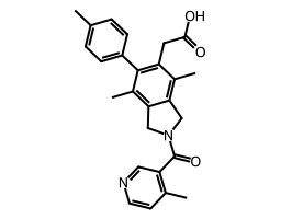 Cc1ccc(-c2c(C)c3c(c(C)c2CC(=O)O)CN(C(=O)c2cnccc2C)C3)cc1